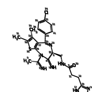 CC(=N)N1C(=N)[C@H](CNC(=O)CCc2ncc[nH]2)N=C(c2ccc(Cl)cc2)c2c1sc(C)c2C